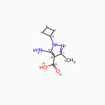 Cc1nn(C2CCC2)c(N)c1C(=O)O